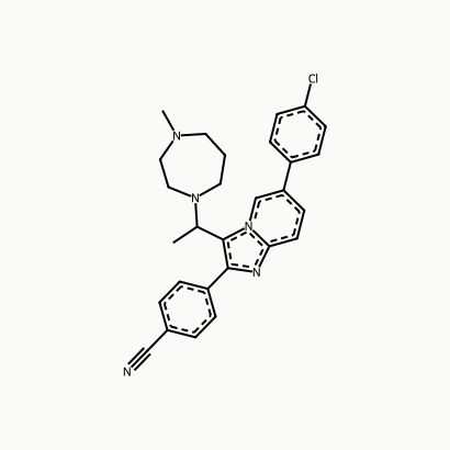 CC(c1c(-c2ccc(C#N)cc2)nc2ccc(-c3ccc(Cl)cc3)cn12)N1CCCN(C)CC1